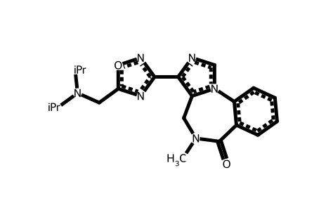 CC(C)N(Cc1nc(-c2ncn3c2CN(C)C(=O)c2ccccc2-3)no1)C(C)C